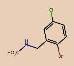 O=C(O)NCc1cc(Cl)ccc1Br